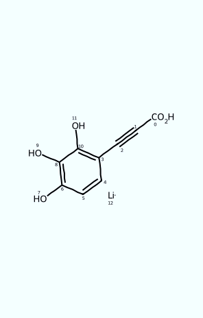 O=C(O)C#Cc1ccc(O)c(O)c1O.[Li]